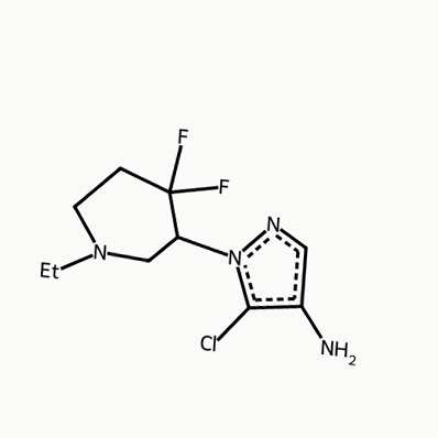 CCN1CCC(F)(F)C(n2ncc(N)c2Cl)C1